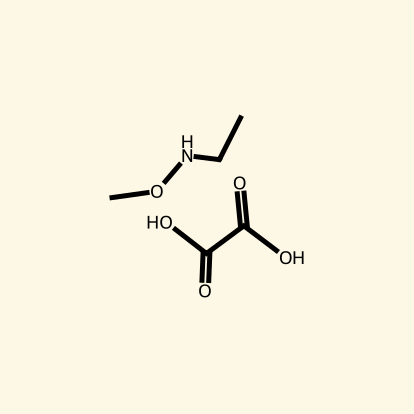 CCNOC.O=C(O)C(=O)O